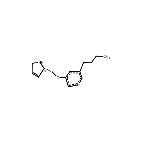 CCCCc1cncc(OC[C@@H]2C=CCN2)c1